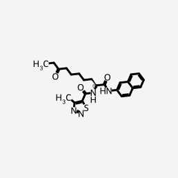 CCC(=O)CCCCC[C@H](NC(=O)c1snnc1C)C(=O)Nc1ccc2ccccc2c1